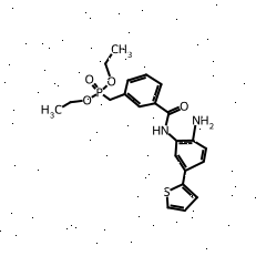 CCOP(=O)(Cc1cccc(C(=O)Nc2cc(-c3cccs3)ccc2N)c1)OCC